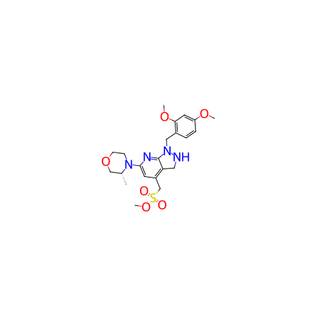 COc1ccc(CN2NCc3c(CS(=O)(=O)OC)cc(N4CCOC[C@H]4C)nc32)c(OC)c1